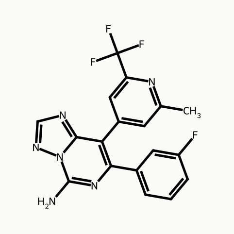 Cc1cc(-c2c(-c3cccc(F)c3)nc(N)n3ncnc23)cc(C(F)(F)F)n1